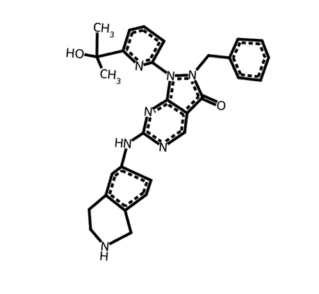 CC(C)(O)c1cccc(-n2c3nc(Nc4ccc5c(c4)CCNC5)ncc3c(=O)n2Cc2ccccc2)n1